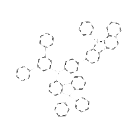 c1ccc(-c2cc(-c3ccccc3)cc(N(c3ccc(-c4ccc5c6ccc7ccccc7c6n(-c6ccccc6)c5c4)cc3)c3cccc4c3-c3ccccc3C4(c3ccccc3)c3ccccc3)c2)cc1